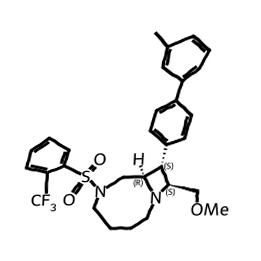 COC[C@@H]1[C@@H](c2ccc(-c3cccc(C)c3)cc2)[C@@H]2CN(S(=O)(=O)c3ccccc3C(F)(F)F)CCCCN12